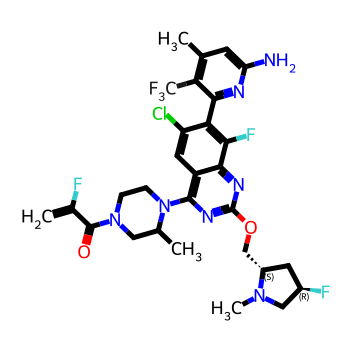 C=C(F)C(=O)N1CCN(c2nc(OC[C@@H]3C[C@@H](F)CN3C)nc3c(F)c(-c4nc(N)cc(C)c4C(F)(F)F)c(Cl)cc23)C(C)C1